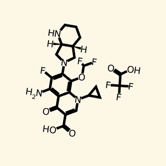 Nc1c(F)c(N2C[C@H]3CCCN[C@H]3C2)c(OC(F)F)c2c1c(=O)c(C(=O)O)cn2C1CC1.O=C(O)C(F)(F)F